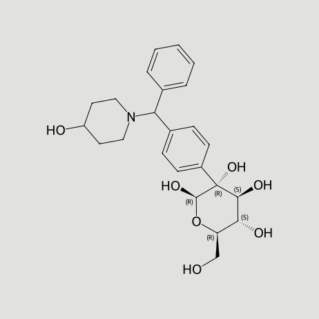 OC[C@H]1O[C@@H](O)[C@@](O)(c2ccc(C(c3ccccc3)N3CCC(O)CC3)cc2)[C@@H](O)[C@@H]1O